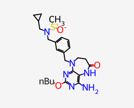 CCCCOc1nc(N)c2c(n1)N(Cc1cccc(CN(CC3CC3)[S+](C)[O-])c1)CCC(=O)N2